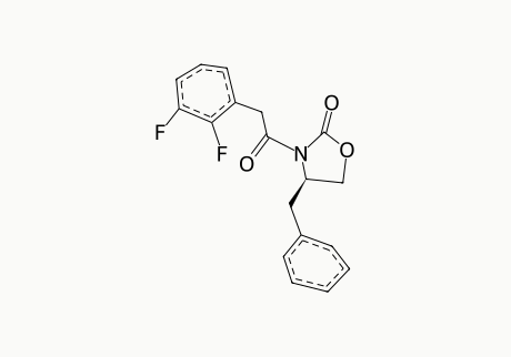 O=C(Cc1cccc(F)c1F)N1C(=O)OC[C@H]1Cc1ccccc1